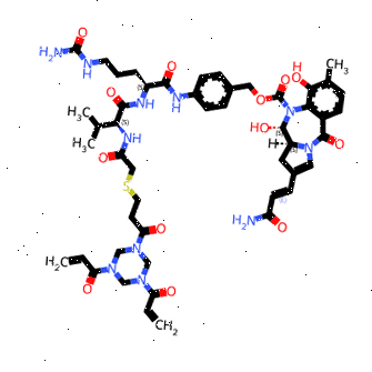 C=CC(=O)N1CN(C(=O)C=C)CN(C(=O)CCSCC(=O)N[C@H](C(=O)N[C@@H](CCCNC(N)=O)C(=O)Nc2ccc(COC(=O)N3c4c(ccc(C)c4O)C(=O)N4C=C(/C=C/C(N)=O)C[C@H]4[C@@H]3O)cc2)C(C)C)C1